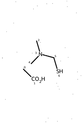 CC(=O)O.CN(C)CS